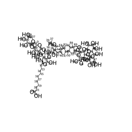 CC1O[C@@H](OC2C(O)[C@@H](NC(=O)CCCCCCCCCCC(=O)O)C(CO)O[C@@H]2NC(=O)[C@@]2(CCC(C)(C)C)C(O)CC3(C)C(=CCC4C5(C)CC[C@H](O[C@@H]6OC(C(=O)O)[C@@H](O)C(O[C@@H]7OC[C@@H](O)C(O)C7O)C6O[C@@H]6OC(CO)[C@H](O)C(O)C6O)C(C)(C=O)C5CCC43C)C2I)C(CO)C(O)[C@H]1O[C@@H]1OC[C@@H](O)C(O)C1O